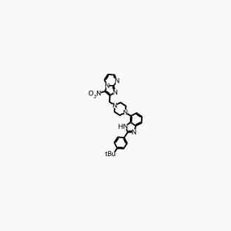 CC(C)(C)c1ccc(-c2nc3cccc(N4CCN(Cc5nc6ncccn6c5[N+](=O)[O-])CC4)c3[nH]2)cc1